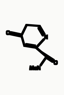 CNC(=O)C1=CC(=O)CC=N1